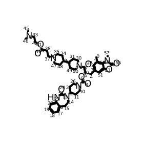 Cc1cc(C[C@@H](OC(=O)N2CCC(N3CCc4ccccc4NC3=O)CC2)C(=O)N2CCC(C3CCN(CCC(=O)OCCN(C)C)CC3)CC2)cc2oc(=O)n(C)c12